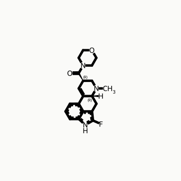 CN1C[C@H](C(=O)N2CCOCC2)C=C2c3cccc4[nH]c(F)c(c34)C[C@H]21